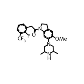 COc1cc2c(cc1N1CC(C)NC(C)C1)N(C(=O)Cc1cccc(C(F)(F)F)c1F)CC2